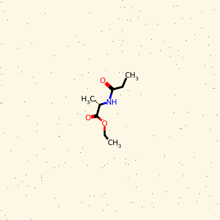 CCOC(=O)[C@H](C)NC(=O)CC